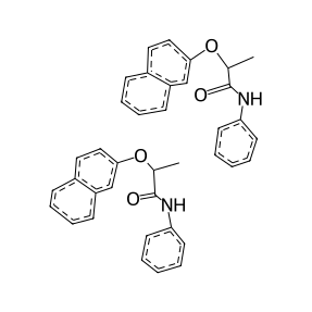 CC(Oc1ccc2ccccc2c1)C(=O)Nc1ccccc1.CC(Oc1ccc2ccccc2c1)C(=O)Nc1ccccc1